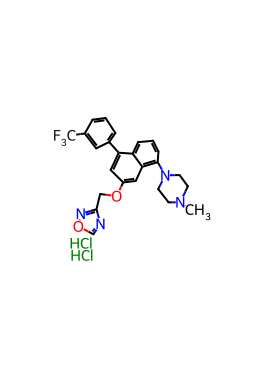 CN1CCN(c2cccc3c(-c4cccc(C(F)(F)F)c4)cc(OCc4ncon4)cc23)CC1.Cl.Cl